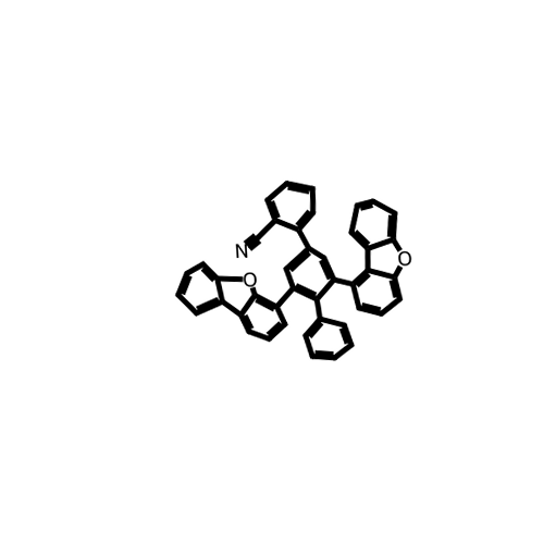 N#Cc1ccccc1-c1cc(-c2cccc3c2oc2ccccc23)c(-c2ccccc2)c(-c2cccc3oc4ccccc4c23)c1